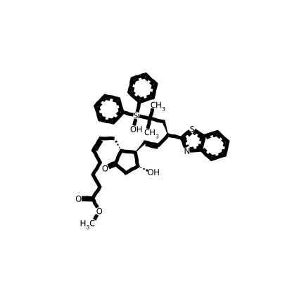 COC(=O)CCC/C=C\C[C@H]1C(=O)C[C@@H](O)[C@@H]1/C=C/[C@@H](CC(C)(C)[Si](O)(c1ccccc1)c1ccccc1)c1nc2ccccc2s1